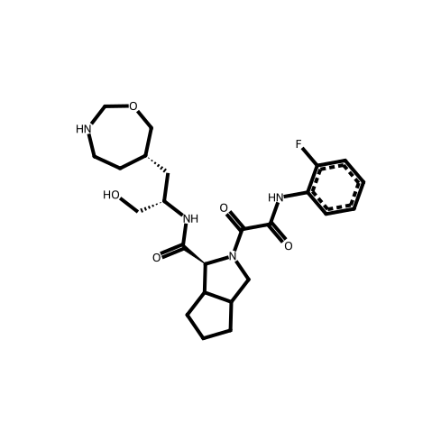 O=C(Nc1ccccc1F)C(=O)N1CC2CCCC2[C@H]1C(=O)N[C@H](CO)C[C@@H]1CCNCOC1